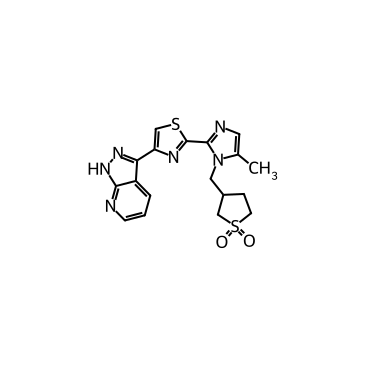 Cc1cnc(-c2nc(-c3n[nH]c4ncccc34)cs2)n1CC1CCS(=O)(=O)C1